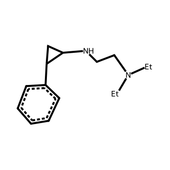 CCN(CC)CCNC1CC1c1ccccc1